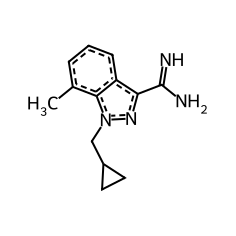 Cc1cccc2c(C(=N)N)nn(CC3CC3)c12